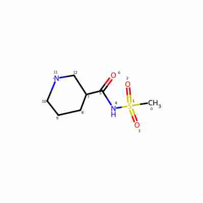 CS(=O)(=O)NC(=O)C1CCC[N]C1